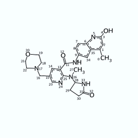 Cc1cc(O)nc2ccc(NC(=O)c3cc(CN4CCOCC4)cnc3N(C)C3CCC(=O)N3)cc12